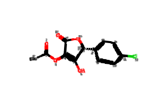 CC(C)(C)C(=O)OC1=C(O)[C@@H](c2ccc(Cl)cc2)OC1=O